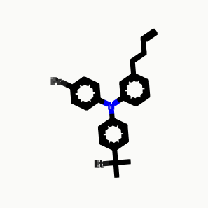 C=CCCc1cccc(N(c2ccc(C(C)C)cc2)c2ccc(C(C)(C)CC)cc2)c1